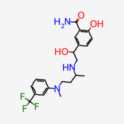 CC(CCN(C)c1cccc(C(F)(F)F)c1)NCC(O)c1ccc(O)c(C(N)=O)c1